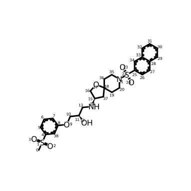 CS(=O)(=O)c1cccc(OC[C@H](O)CN[C@H]2COC3(CCN(S(=O)(=O)c4ccc5ccccc5c4)CC3)C2)c1